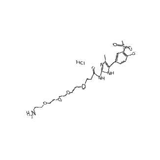 Cc1nc(NC(=O)CCOCCOCCOCCOCCN)[nH]c1-c1ccc(Cl)c(S(C)(=O)=O)c1.Cl